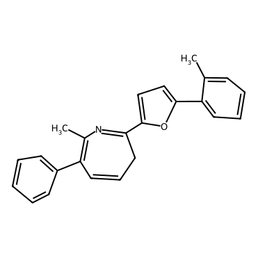 CC1=C(c2ccccc2)C=CCC(c2ccc(-c3ccccc3C)o2)=N1